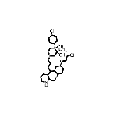 CC1(C)CN(CCCC2C3CCCNC3COC3CC[C@H](OCCO)CC32)CCC1(O)[C@H]1CC[C@@H](Cl)CC1